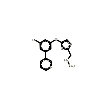 CCc1cc(Sc2cnc(CNC(=O)O)s2)cc(-c2cccnc2)c1